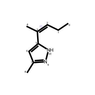 CC/C=C(/C)c1cc(C)n[nH]1